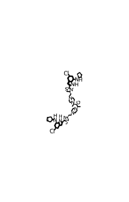 CC(C(=O)C(C)N1CCN(CC[C@H]2CSC(c3cc4cc(Cl)cc(NC5CCCC5)c4[nH]3)=N2)CC1)N1CCN(CC[C@H]2CSC(c3cc4cc(Cl)cc(NC5CCCC5)c4[nH]3)=N2)CC1